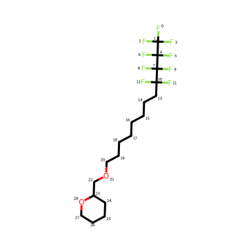 FC(F)(F)C(F)(F)C(F)(F)C(F)(F)CCCCCCCCOCC1CCCCO1